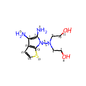 Nc1c(N)n(N(CCO)CCO)c2sccc12